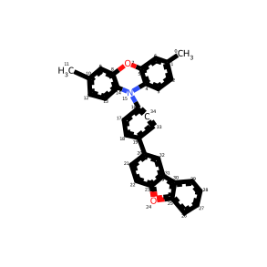 Cc1ccc2c(c1)Oc1cc(C)ccc1N2c1ccc(-c2ccc3oc4ccccc4c3c2)cc1